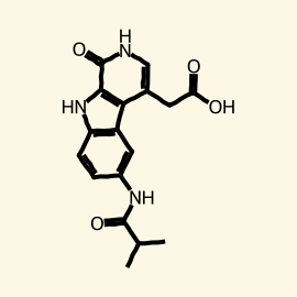 CC(C)C(=O)Nc1ccc2[nH]c3c(=O)[nH]cc(CC(=O)O)c3c2c1